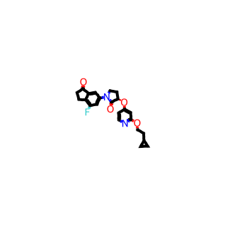 O=C1CCc2c(F)cc(N3CC[C@@H](Oc4ccnc(OCCC5CC5)c4)C3=O)cc21